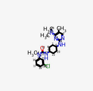 Cc1cnc(NC2CCC(NC(=O)N(C)c3cccc(Cl)c3)CC2)nc1N(C)C